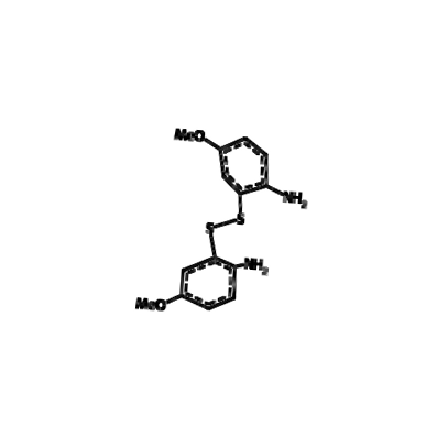 COc1ccc(N)c(SSc2cc(OC)ccc2N)c1